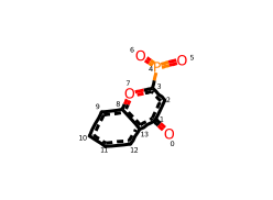 O=c1cc(P(=O)=O)oc2ccccc12